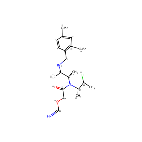 COc1ccc(CNC(C)[C@@H](C)N(C(=O)COC=N)[C@@H](C)C(C)Cl)c(OC)c1